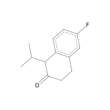 CC(C)C1C(=O)CCc2cc(F)ccc21